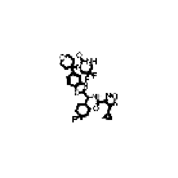 O=C(N[C@H](c1nc2cc(C3(N4CC(F)(F)CNC4=O)CCOCC3)ccc2o1)C1CCC(F)(F)CC1)c1nonc1C1CC1